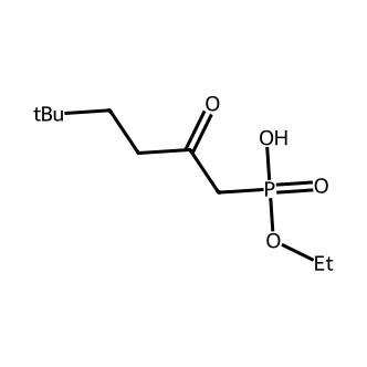 CCOP(=O)(O)CC(=O)CCC(C)(C)C